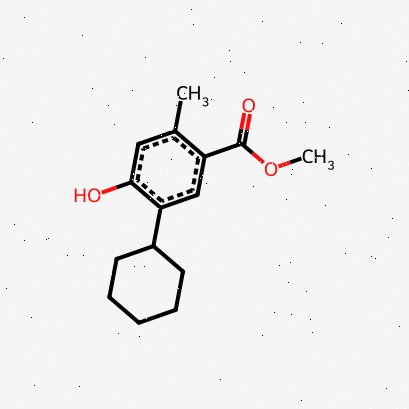 COC(=O)c1cc(C2CCCCC2)c(O)cc1C